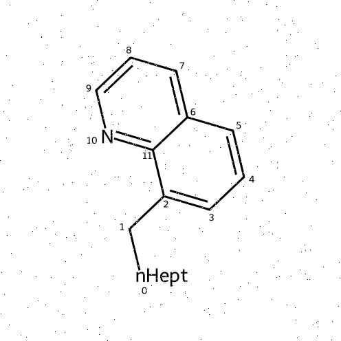 CCCCCCCCc1cccc2cccnc12